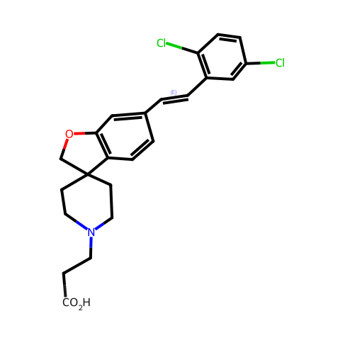 O=C(O)CCN1CCC2(CC1)COc1cc(/C=C/c3cc(Cl)ccc3Cl)ccc12